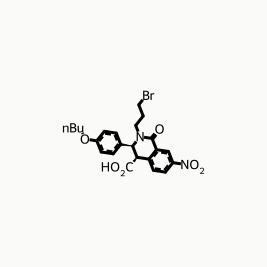 CCCCOc1ccc([C@@H]2[C@H](C(=O)O)c3ccc([N+](=O)[O-])cc3C(=O)N2CCCBr)cc1